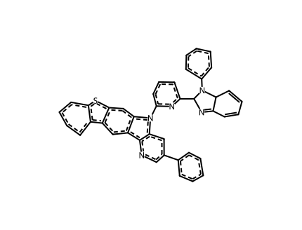 C1=CC2=NC(c3cccc(-n4c5cc6sc7ccccc7c6cc5c5ncc(-c6ccccc6)cc54)n3)N(c3ccccc3)C2C=C1